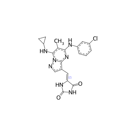 Cc1c(Nc2cccc(Cl)c2)nc2c(/C=C3\NC(=O)NC3=O)cnn2c1NC1CC1